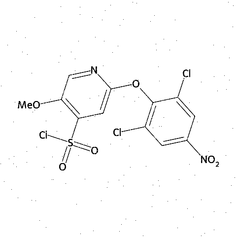 COc1cnc(Oc2c(Cl)cc([N+](=O)[O-])cc2Cl)cc1S(=O)(=O)Cl